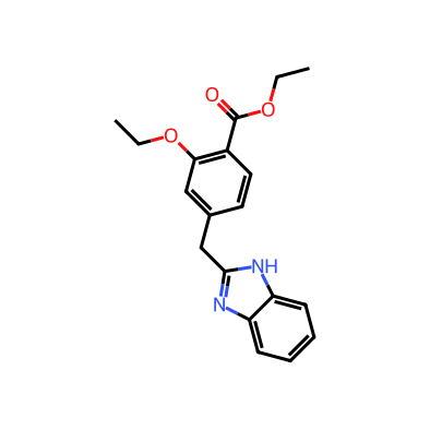 CCOC(=O)c1ccc(Cc2nc3ccccc3[nH]2)cc1OCC